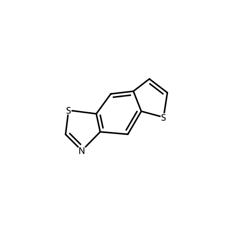 c1cc2cc3scnc3cc2s1